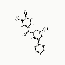 C[C@H]1CC(c2ccccc2)=NN(C(=O)c2ccc(Cl)c(Cl)c2)C1